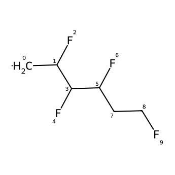 [CH2]C(F)C(F)C(F)CCF